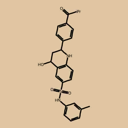 Cc1cccc(NS(=O)(=O)c2ccc3c(c2)C(O)CC(c2ccc(C(=O)C(C)C)cc2)N3)c1